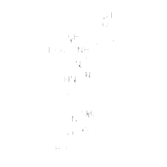 CCOC(=O)/N=[SH](=O)/c1ccc(Nc2ncc(-c3cccc(COC)c3)c(N[C@H](C)CO)n2)cc1